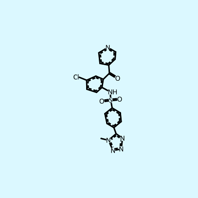 Cn1nnnc1-c1ccc(S(=O)(=O)Nc2ccc(Cl)cc2C(=O)c2ccncc2)cc1